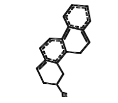 CCC1CC=c2ccc3c(c2C1)CC=c1ccccc1=3